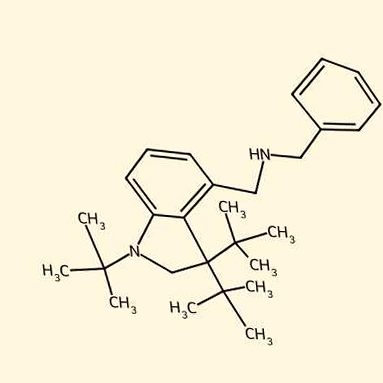 CC(C)(C)N1CC(C(C)(C)C)(C(C)(C)C)c2c(CNCc3ccccc3)cccc21